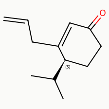 C=CCC1=CC(=O)CC[C@H]1C(C)C